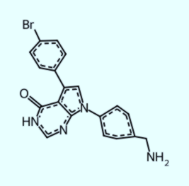 NCc1ccc(-n2cc(-c3ccc(Br)cc3)c3c(=O)[nH]cnc32)cc1